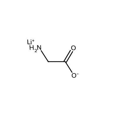 NCC(=O)[O-].[Li+]